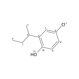 CCC(C)c1cc(Cl)ccc1O